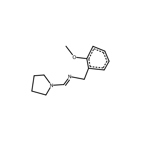 COc1ccccc1CN=CN1CCCC1